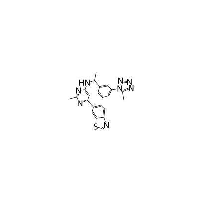 Cc1nc(NC(C)c2cccc(-n3nnnc3C)c2)cc(-c2ccc3ncsc3c2)n1